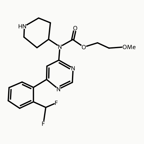 COCCOC(=O)N(c1cc(-c2ccccc2C(F)F)ncn1)C1CCNCC1